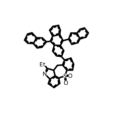 CCC1=Nc2cccc3c2C1Cc1c(-c2ccc4c(-c5ccc6ccccc6c5)c5ccccc5c(-c5ccc6ccccc6c5)c4c2)cccc1S3(=O)=O